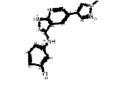 Cn1cc(-c2cnc3[nH]nc(Nc4cccc(Cl)c4)c3c2)cn1